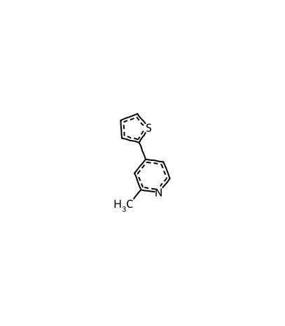 Cc1cc(-c2cccs2)ccn1